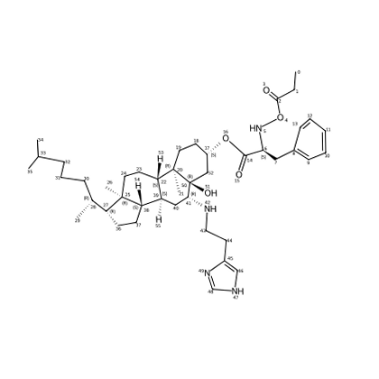 CCC(=O)ON[C@@H](Cc1ccccc1)C(=O)O[C@H]1CC[C@]2(C)[C@H]3CC[C@]4(C)[C@@H]([C@H](C)CCCC(C)C)CC[C@H]4[C@@H]3C[C@@H](NCCc3c[nH]cn3)[C@@]2(O)C1